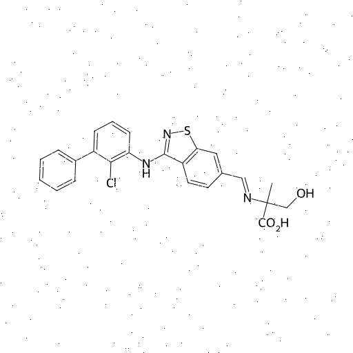 CC(CO)(N=Cc1ccc2c(Nc3cccc(-c4ccccc4)c3Cl)nsc2c1)C(=O)O